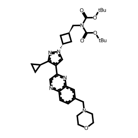 CC(C)(C)OC(=O)N(C[C@H]1C[C@H](n2cc(-c3cnc4ccc(CN5CCOCC5)cc4n3)c(C3CC3)n2)C1)C(=O)OC(C)(C)C